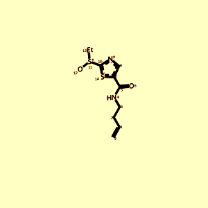 C=CCCNC(=O)c1cnc([S+]([O-])CC)s1